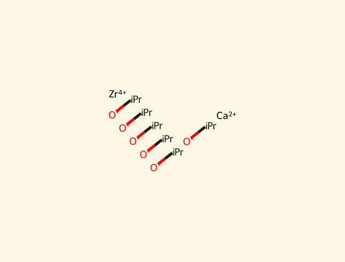 CC(C)[O-].CC(C)[O-].CC(C)[O-].CC(C)[O-].CC(C)[O-].CC(C)[O-].[Ca+2].[Zr+4]